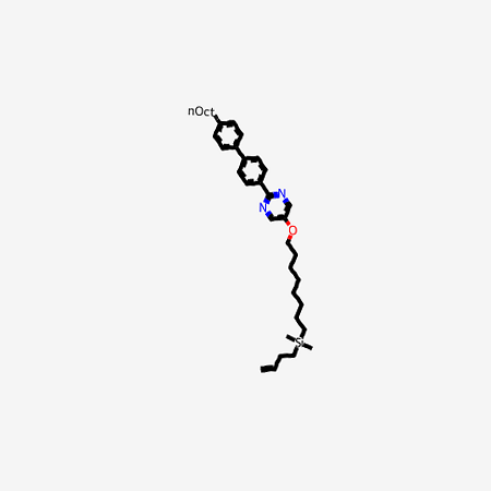 C=CCC[Si](C)(C)CCCCCCCCOc1cnc(-c2ccc(-c3ccc(CCCCCCCC)cc3)cc2)nc1